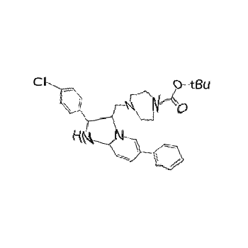 CC(C)(C)OC(=O)N1CCN(CC2C(c3ccc(Cl)cc3)NC3C=CC(c4ccccc4)=CN32)CC1